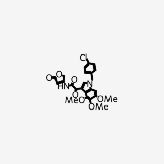 COc1cc2c(c(C(=O)C(=O)NC3=CC(=O)OC3)cn2Cc2ccc(Cl)cc2)c(OC)c1OC